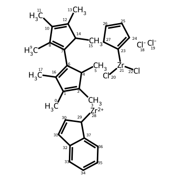 CC1=C(C)C(C)C(C2=C(C)C(C)=C(C)C2C)=C1C.[Cl-].[Cl-].[Cl][Zr]([Cl])[C]1=CC=CC1.[Zr+2][CH]1C=Cc2ccccc21